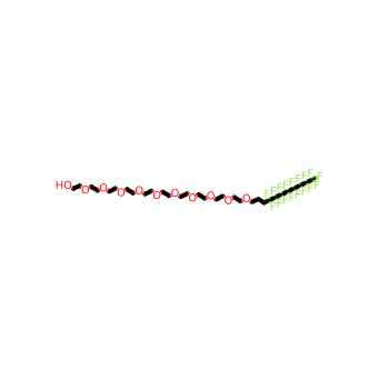 OCCOCCOCCOCCOCCOCCOCCOCCOCCOCCOCCCC(F)(F)C(F)(F)C(F)(F)C(F)(F)C(F)(F)C(F)(F)C(F)(F)C(F)(F)F